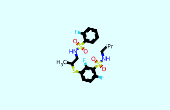 CC(C)CNS(=O)(=O)c1c(F)ccc(SC(C)CNS(=O)(=O)c2ccccc2F)c1F